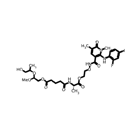 COC(COC(=O)CCCC(=O)N[C@@H](C)C(=O)OCCONC(=O)c1cc(C)c(=O)n(C)c1Nc1ccc(I)cc1F)OC(C)CO